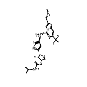 COCc1cn2c(Nc3cc([C@@H]4OC[C@H](OC(=O)NC(C)C)[C@@H]4F)[nH]n3)nc(C(F)(F)F)cc2n1